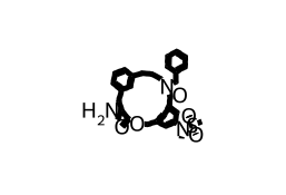 CN(c1cc2cc(c1)C(=O)N(Cc1ccccc1)CCCc1cccc(c1)CC(C)(N)C(=O)OC2)S(C)(=O)=O